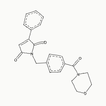 O=C(c1ccc(CN2C(=O)C=C(c3ccccc3)C2=O)cc1)N1CCOCC1